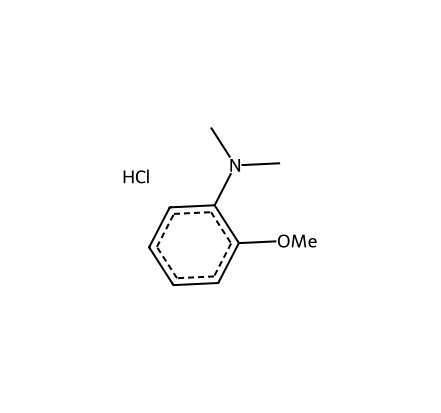 COc1ccccc1N(C)C.Cl